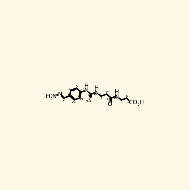 NN=Cc1ccc(NC(=S)NCCC(=O)NCCC(=O)O)cc1